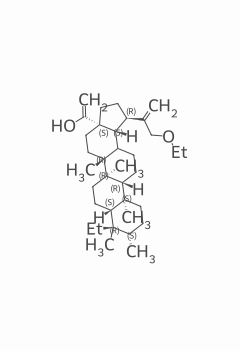 C=C(COCC)[C@@H]1CC[C@]2(C(=C)O)CC[C@]3(C)C(CC[C@@H]4[C@@]5(C)CC[C@H](C)[C@@](C)(CC)[C@@H]5CC[C@]43C)[C@@H]12